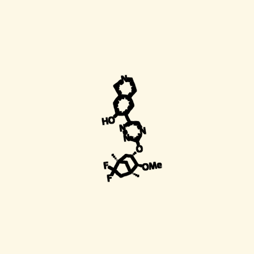 CO[C@@H]1[C@@H](Oc2ncc(-c3cc4ccncc4cc3O)nn2)C[C@@]2(C)C[C@]1(C)CC2(F)F